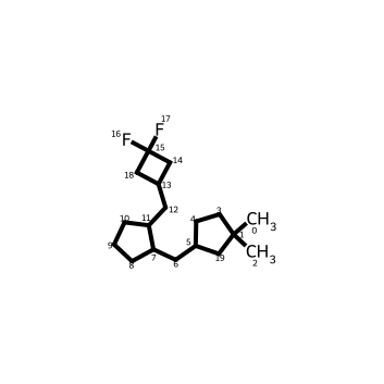 CC1(C)CCC(CC2CCCC2CC2CC(F)(F)C2)C1